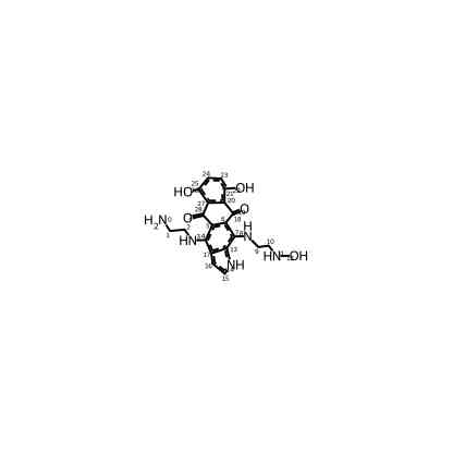 NCCNc1c2c(c(NCCNO)c3[nH]ccc13)C(=O)c1c(O)ccc(O)c1C2=O